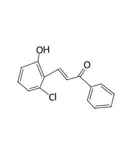 O=C(C=Cc1c(O)cccc1Cl)c1ccccc1